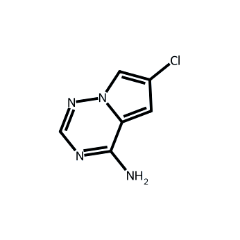 Nc1ncnn2cc(Cl)cc12